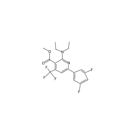 CCN(CC)c1nc(-c2cc(F)cc(F)c2)cc(C(F)(F)F)c1C(=O)OC